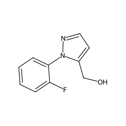 OCc1ccnn1-c1ccccc1F